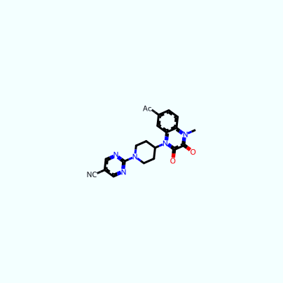 CC(=O)c1ccc2c(c1)n(C1CCN(c3ncc(C#N)cn3)CC1)c(=O)c(=O)n2C